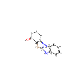 O=C1CCCc2c1sc1nc3ccccc3n21